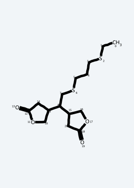 CCSCCCSCC(C1COC(=O)C1)C1COC(=O)C1